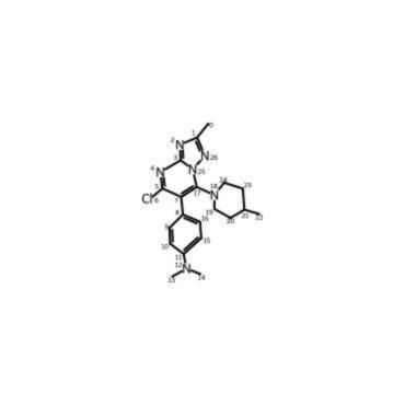 Cc1nc2nc(Cl)c(-c3ccc(N(C)C)cc3)c(N3CCC(C)CC3)n2n1